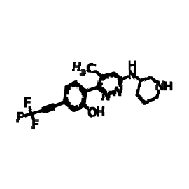 Cc1cc(N[C@@H]2CCCNC2)nnc1-c1ccc(C#CC(F)(F)F)cc1O